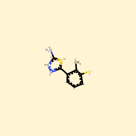 Cc1c(S)cccc1-c1nnc(N)s1